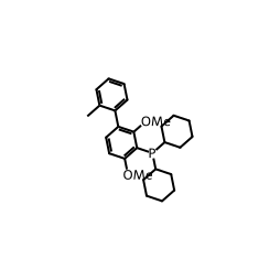 COc1ccc(-c2ccccc2C)c(OC)c1P(C1CCCCC1)C1CCCCC1